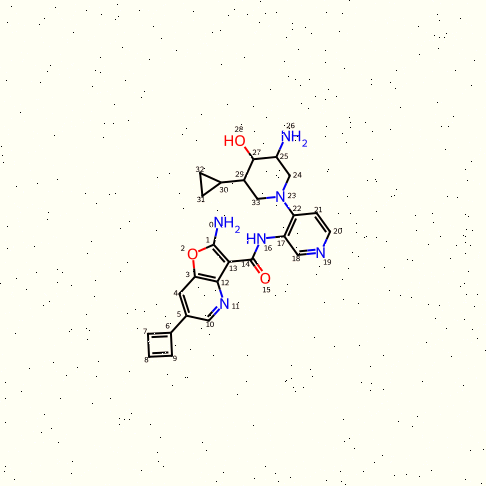 Nc1oc2cc(C3=CC=C3)cnc2c1C(=O)Nc1cnccc1N1CC(N)C(O)C(C2CC2)C1